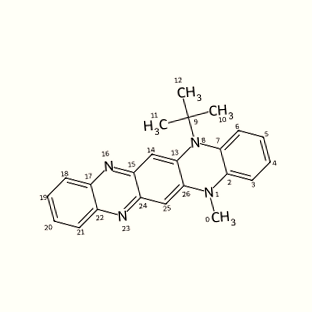 CN1c2ccccc2N(C(C)(C)C)c2cc3nc4ccccc4nc3cc21